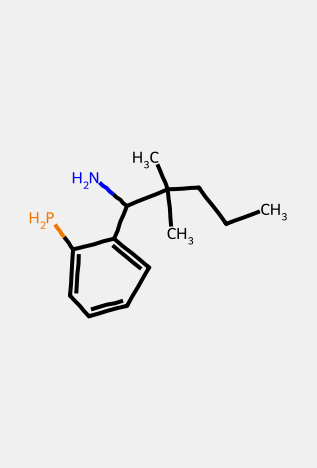 CCCC(C)(C)C(N)c1ccccc1P